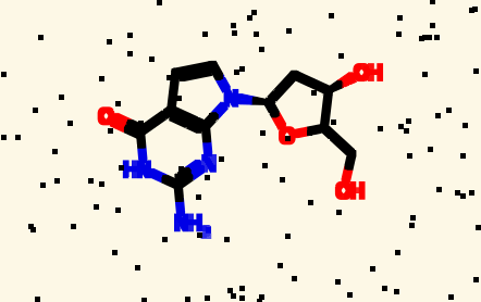 Nc1nc2c(ccn2[C@H]2C[C@@H](O)C(CO)O2)c(=O)[nH]1